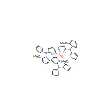 COc1ccccc1N(c1ccccc1)c1cccc(P(=O)(c2cccc(N(c3ccccc3)c3ccccc3OC)n2)c2cccc(N(c3ccccc3)c3ccccc3OC)n2)n1